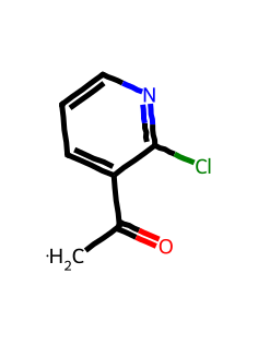 [CH2]C(=O)c1cccnc1Cl